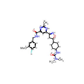 COc1cc(CNC(=O)c2cc(C3=NOC(C4CCC(NC(=O)N(C)C)CC4)C3)nc(C)n2)ccc1F